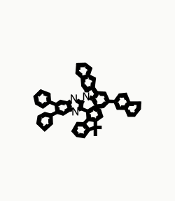 CC1(C)c2ccccc2-c2c(-c3nc4cc(-c5ccccc5)c(-c5ccccc5)cc4nc3-n3c4ccc(-c5ccc6ccccc6c5)cc4c4cc5ccccc5cc43)cccc21